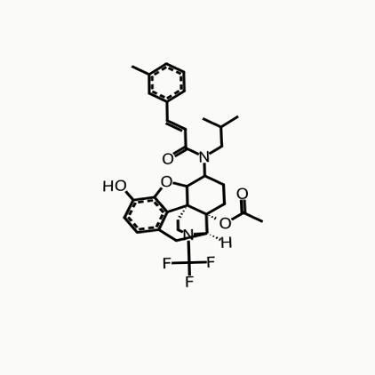 CC(=O)O[C@@]12CCC(N(CC(C)C)C(=O)/C=C/c3cccc(C)c3)C3Oc4c(O)ccc5c4[C@@]31CCN(C(F)(F)F)[C@@H]2C5